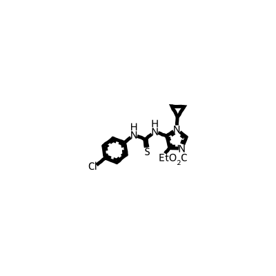 CCOC(=O)c1ncn(C2CC2)c1NC(=S)Nc1ccc(Cl)cc1